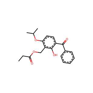 CCC(=O)OCc1c(OC(C)C)ccc(C(=O)c2ccccc2)c1O